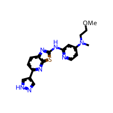 COCCN(C)c1ccnc(Nc2nc3ccc(-c4cn[nH]c4)nc3s2)c1